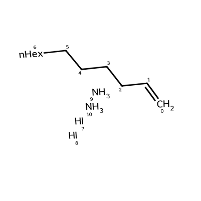 C=CCCCCCCCCCC.I.I.N.N